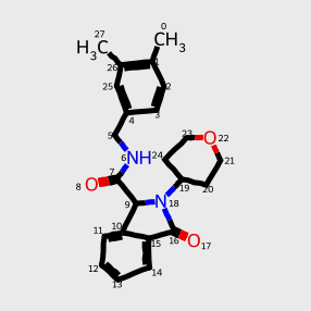 Cc1ccc(CNC(=O)C2c3ccccc3C(=O)N2C2CCOCC2)cc1C